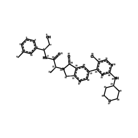 Cc1cccc(C(CO)NC(=O)C(C)N2Cc3ncc(-c4nc(NC5CCOCC5)ncc4Cl)cc3C2=O)c1